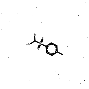 CCCC(Br)S(=O)(=O)c1ccc(C)cc1